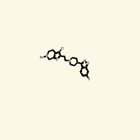 CCc1c(CCN2CCC(c3noc4cc(F)ccc34)CC2)sc2c1CCN(C(C)=O)C2